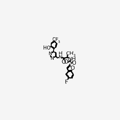 CC(NS(=O)(=O)c1cc2cc(F)ccc2o1)C(=O)NCc1cc(-c2ccc(C(F)(F)F)cc2O)ncn1